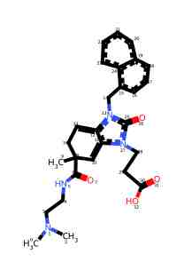 CN(C)CCNC(=O)C1(C)C=c2c(n(Cc3cccc4ccccc34)c(=O)n2CCC(=O)O)=CC1